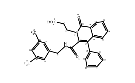 CCOC(=O)CCn1c(C(=O)NCc2cc(C(F)(F)F)cc(C(F)(F)F)c2)c(-c2ccccc2)c2ccccc2c1=O